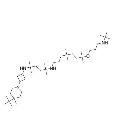 CC(C)(CCCNC(C)(C)CCC(C)(C)NC1CC(N2CCC(C)(C(C)(C)C)CC2)C1)CCC(C)(C)OCCCNC(C)(C)C